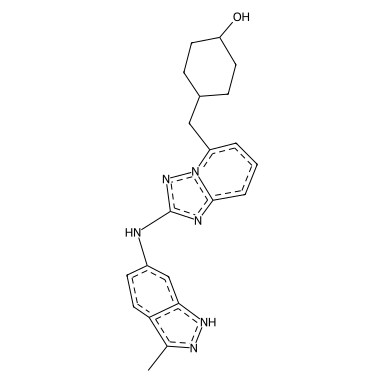 Cc1n[nH]c2cc(Nc3nc4cccc(CC5CCC(O)CC5)n4n3)ccc12